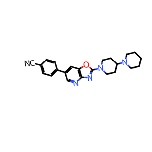 N#Cc1ccc(-c2cnc3nc(N4CCC(N5CCCCC5)CC4)oc3c2)cc1